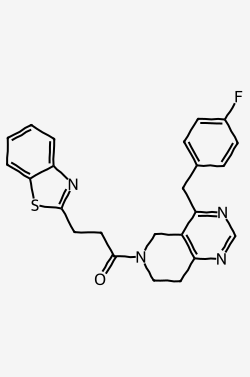 O=C(CCc1nc2ccccc2s1)N1CCc2ncnc(Cc3ccc(F)cc3)c2C1